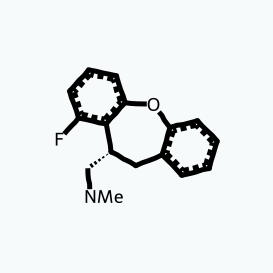 CNC[C@H]1Cc2ccccc2Oc2cccc(F)c21